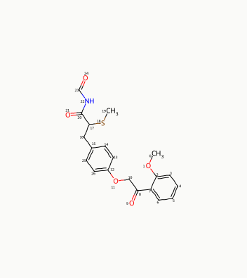 COc1ccccc1C(=O)COc1ccc(CC(SC)C(=O)NC=O)cc1